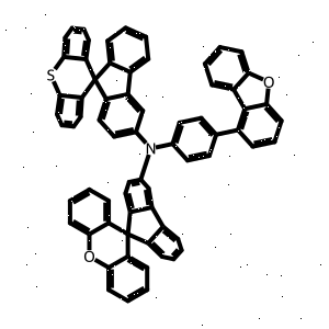 c1ccc2c(c1)Oc1ccccc1C21c2ccccc2-c2cc(N(c3ccc(-c4cccc5oc6ccccc6c45)cc3)c3ccc4c(c3)-c3ccccc3C43c4ccccc4Sc4ccccc43)ccc21